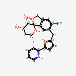 C[C@@H]1C[C@H](O)[C@H](O)[C@@]2(OCc3cc(F)c(Cc4ccc(-c5ccccn5)s4)cc32)O1